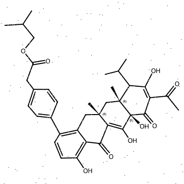 CC(=O)C1=C(O)C(C(C)C)[C@@]2(C)C[C@@]3(C)Cc4c(-c5ccc(CC(=O)OCC(C)C)cc5)ccc(O)c4C(=O)C3=C(O)[C@@]2(O)C1=O